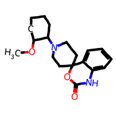 COC1CCCCC1N1CCC2(CC1)OC(=O)Nc1ccccc12